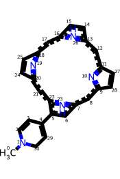 CN1C=CC(c2cc3cc4nc(cc5ccc(cc6nc(cc2[nH]3)C=C6)[nH]5)C=C4)=CC1